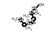 Cc1nc(-c2ccc(C)c(NC(=O)c3cnc4ccc(-c5c(C)nn(CC(=O)NCCO)c5C)cn34)c2)no1